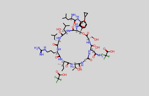 CC[C@H](C)[C@@H]1NC(=O)[C@@H](CCCNC(=N)N)NC(=O)[C@H](CC(C)C)NC(=O)[C@H]([C@H](O)C(C)C)NC(=O)[C@@H](NC(=O)[C@H](CC2CC2)NC(=O)[C@H](N)CC(C)C)[C@@H](c2ccccc2)OC(=O)[C@H](CO)NC(=O)[C@H]([C@H](O)C(N)=O)NC(=O)CNC(=O)[C@H]([C@H](C)O)NC1=O.O=C(O)C(F)(F)F.O=C(O)C(F)(F)F